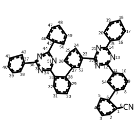 N#Cc1ccccc1-c1cccc(-c2nc(-c3ccccc3)nc(-c3cccc(-c4ccccc4-c4nc(-c5ccccc5)nc(-c5ccccc5)n4)c3)n2)c1